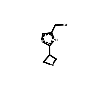 OCc1cnc(C2CNC2)[nH]1